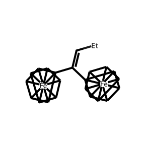 CCC=C([C]12[CH]3[CH]4[CH]5[CH]1[Fe]45321678[CH]2[CH]1[CH]6[CH]7[CH]28)[C]12[CH]3[CH]4[CH]5[CH]1[Fe]45321678[CH]2[CH]1[CH]6[CH]7[CH]28